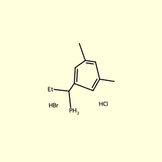 Br.CCC(P)c1cc(C)cc(C)c1.Cl